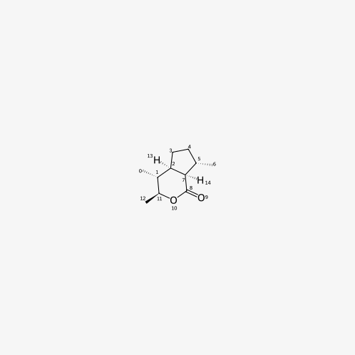 C[C@@H]1[C@H]2CC[C@H](C)[C@H]2C(=O)O[C@H]1C